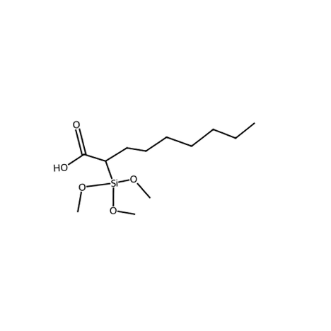 CCCCCCCC(C(=O)O)[Si](OC)(OC)OC